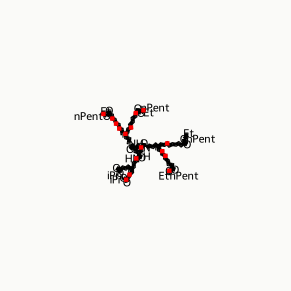 CCCCCC(CC)OC(=O)CCCCCCCCN(CCCCCCCCC(=O)OC(CC)CCCCC)CCCNC(=O)c1cc(C(=O)NCCCN(CCCCCCCCC(=O)OC(CC)CCCCC)CCCCCCCCC(=O)OC(CC)CCCCC)cc(C(=O)NCCCN(CCCC(=O)OC(C)C)CCCC(=O)OC(C)C)c1